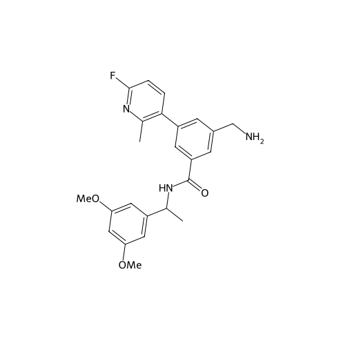 COc1cc(OC)cc(C(C)NC(=O)c2cc(CN)cc(-c3ccc(F)nc3C)c2)c1